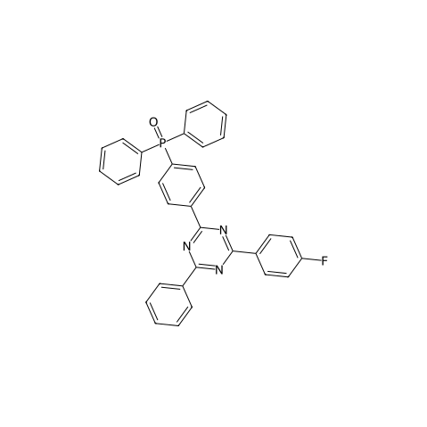 O=P(c1ccccc1)(c1ccccc1)c1ccc(-c2nc(-c3ccccc3)nc(-c3ccc(F)cc3)n2)cc1